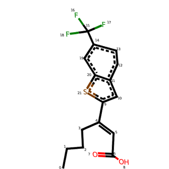 CCCCC(=CC(=O)O)c1cc2ccc(C(F)(F)F)cc2s1